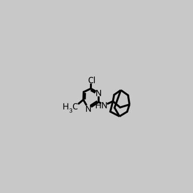 Cc1cc(Cl)nc(NC23CC4CC(CC(C4)C2)C3)n1